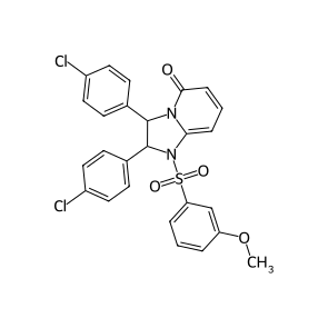 COc1cccc(S(=O)(=O)N2c3cccc(=O)n3C(c3ccc(Cl)cc3)C2c2ccc(Cl)cc2)c1